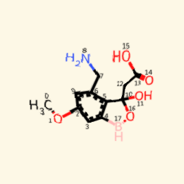 COc1cc2c(c(CN)c1)C(O)(CC(=O)O)OB2